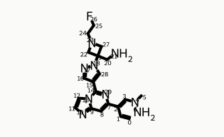 C=C/C(=C\N(C)N)c1cc2nccn2c(-c2cnn(C3(CN)CN(CCF)C3)c2)n1